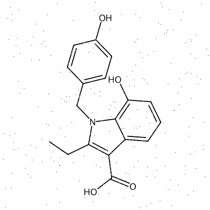 CCc1c(C(=O)O)c2cccc(O)c2n1Cc1ccc(O)cc1